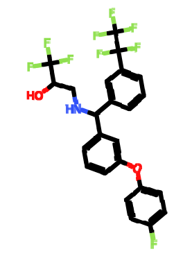 OC(CNC(c1cccc(Oc2ccc(F)cc2)c1)c1cccc(C(F)(F)C(F)(F)F)c1)C(F)(F)F